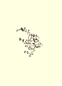 C=CC(=O)NC(C)(C)C(=O)NC(C)(C)CC(N)C(=O)O